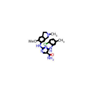 COc1cc2c(cc1Nc1ncc(C(N)=O)c(Nc3cc(C)ccc3Cl)n1)CN(C)CC2